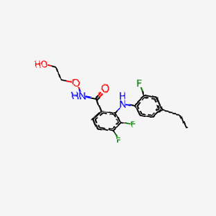 CCc1ccc(Nc2c(C(=O)NOCCO)ccc(F)c2F)c(F)c1